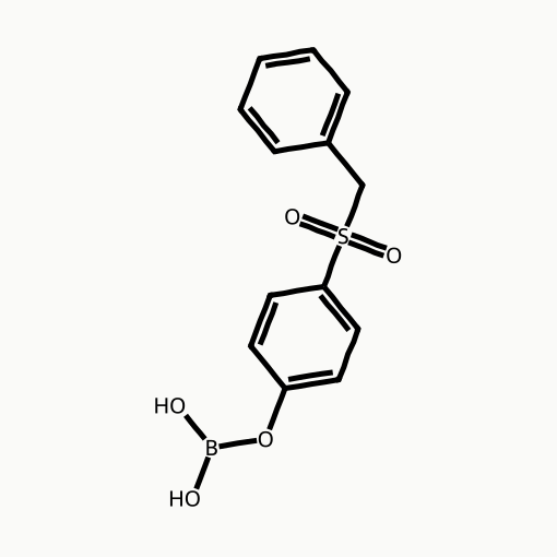 O=S(=O)(Cc1ccccc1)c1ccc(OB(O)O)cc1